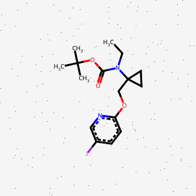 CCN(C(=O)OC(C)(C)C)C1(COc2ccc(I)cn2)CC1